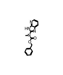 CN(C(=O)OCc1ccccc1)c1nc2cccnc2[nH]1